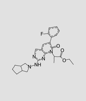 CCOC(=O)C(C)n1c(=O)c(-c2ccccc2F)cc2cnc(NN3CC4CCCC4C3)nc21